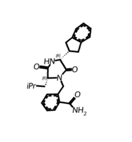 CC(C)C[C@@H]1C(=O)N[C@H](C2Cc3ccccc3C2)C(=O)N1Cc1ccccc1C(N)=O